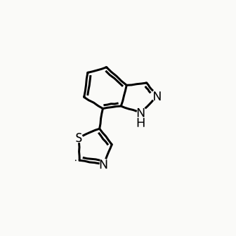 [c]1ncc(-c2cccc3cn[nH]c23)s1